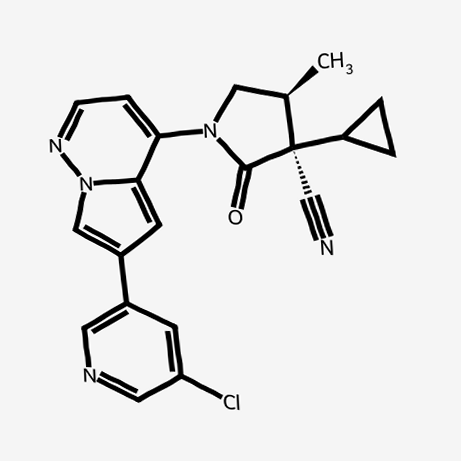 C[C@@H]1CN(c2ccnn3cc(-c4cncc(Cl)c4)cc23)C(=O)[C@]1(C#N)C1CC1